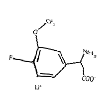 NC(C(=O)[O-])c1ccc(F)c(OC(F)(F)F)c1.[Li+]